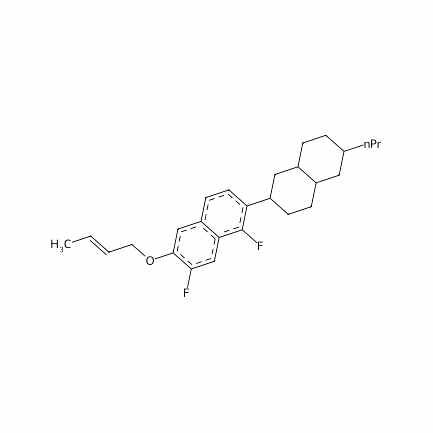 C/C=C/COc1cc2ccc(C3CCC4CC(CCC)CCC4C3)c(F)c2cc1F